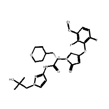 CCOc1ccc(F)c(OC2=CC(=O)N([C@@H](CC3CCOCC3)C(=O)Nc3ccn(CC(C)(C)O)n3)C2)c1F